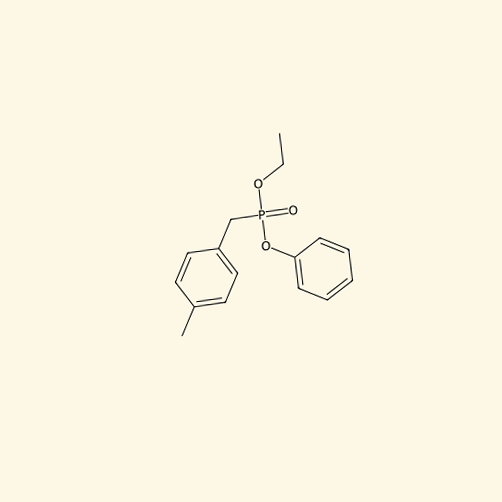 CCOP(=O)(Cc1ccc(C)cc1)Oc1ccccc1